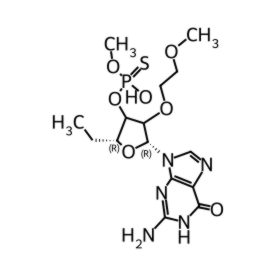 CC[C@H]1O[C@@H](n2cnc3c(=O)[nH]c(N)nc32)C(OCCOC)C1OP(O)(=S)OC